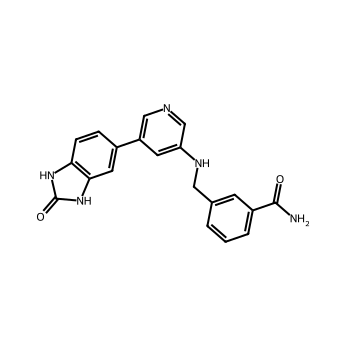 NC(=O)c1cccc(CNc2cncc(-c3ccc4[nH]c(=O)[nH]c4c3)c2)c1